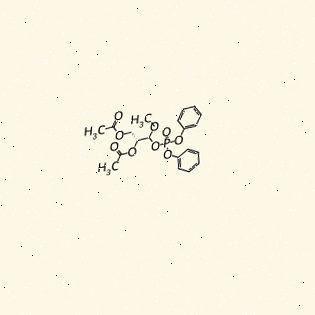 COC(OP(=O)(Oc1ccccc1)Oc1ccccc1)[C@@H](COC(C)=O)OC(C)=O